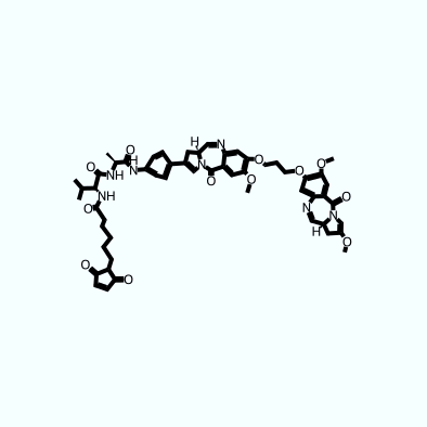 COC1=CN2C(=O)c3cc(OC)c(OCCCOc4cc5c(cc4OC)C(=O)N4C=C(c6ccc(NC(=O)[C@H](C)NC(=O)[C@@H](NC(=O)CCCCCC7C(=O)C=CC7=O)C(C)C)cc6)C[C@H]4C=N5)cc3N=C[C@@H]2C1